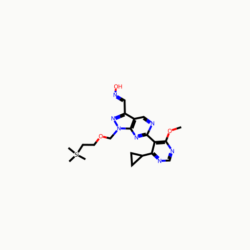 COc1ncnc(C2CC2)c1-c1ncc2c(C=NO)nn(COCC[Si](C)(C)C)c2n1